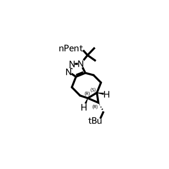 CCCCCC(C)(C)n1nnc2c1CC[C@H]1[C@@H](CC2)[C@H]1CC(C)(C)C